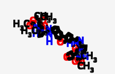 CC[C@@H](OC)[C@H](NC(=O)OC)C(=O)N1[C@@H](C)CC[C@H]1c1nc2ccc3cc4c(cc3c2[nH]1)OCc1cc(-c2cnc([C@@H]3CC[C@H](C)N3C(=O)[C@@H](NC(=O)OC)C3CCOCC3)[nH]2)ccc1-4